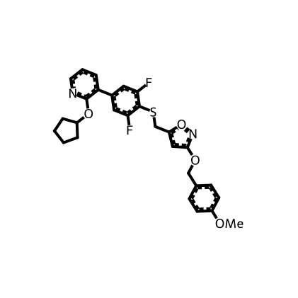 COc1ccc(COc2cc(CSc3c(F)cc(-c4cccnc4OC4CCCC4)cc3F)on2)cc1